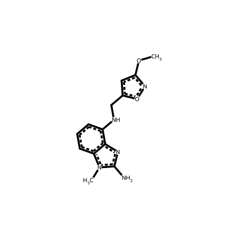 COc1cc(CNc2cccc3c2nc(N)n3C)on1